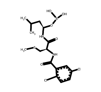 CSC[C@H](NC(=O)c1cc(Cl)ccc1Cl)C(=O)N[C@@H](CC(C)C)OB(O)O